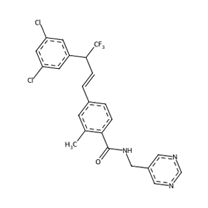 Cc1cc(C=CC(c2cc(Cl)cc(Cl)c2)C(F)(F)F)ccc1C(=O)NCc1cncnc1